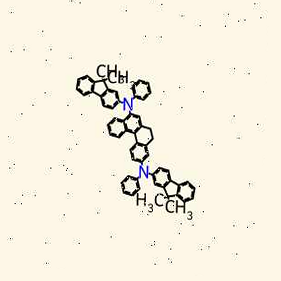 CC1(C)c2ccccc2-c2ccc(N(c3ccccc3)c3ccc4c(c3)CCc3cc(N(c5ccccc5)c5ccc6c(c5)C(C)(C)c5ccccc5-6)c5ccccc5c3-4)cc21